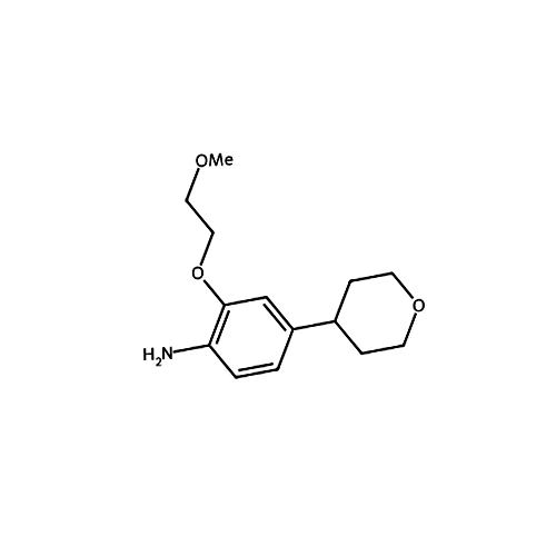 COCCOc1cc(C2CCOCC2)ccc1N